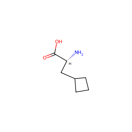 N[C@H](CC1CCC1)C(=O)O